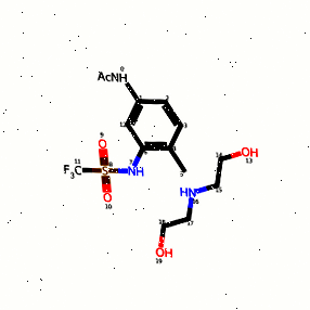 CC(=O)Nc1ccc(C)c(NS(=O)(=O)C(F)(F)F)c1.OCCNCCO